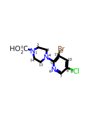 O=C(O)N1CCN(c2ncc(Cl)cc2Br)CC1